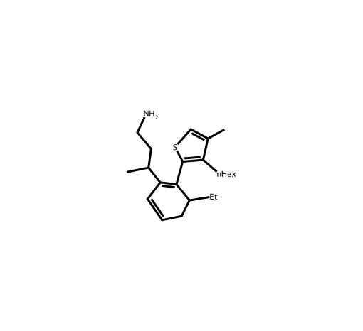 CCCCCCc1c(C)csc1C1=C(C(C)CCN)C=CCC1CC